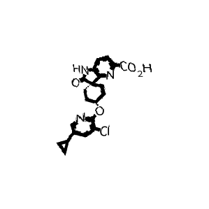 O=C(O)c1ccc2c(n1)[C@]1(CC[C@@H](Oc3ncc(C4CC4)cc3Cl)CC1)C(=O)N2